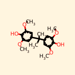 COc1cc(C(C)(C)c2cc(OC)c(O)c(OC)c2)cc(OC)c1O